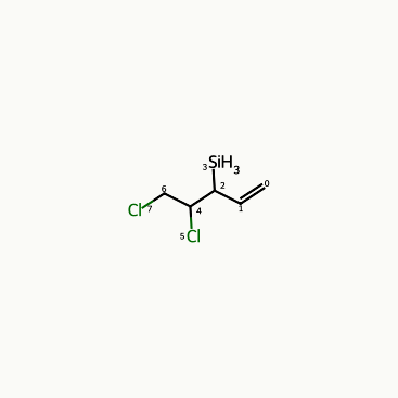 C=CC([SiH3])C(Cl)CCl